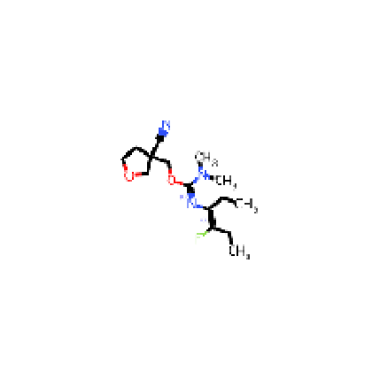 CC/C(F)=C(CC)/N=C(/OCC1(C#N)CCOC1)N(C)C